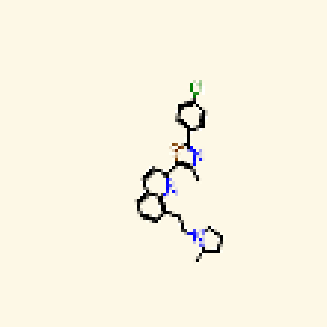 Cc1nc(-c2ccc(Cl)cc2)sc1-c1ccc2cccc(CCN3CCC[C@H]3C)c2n1